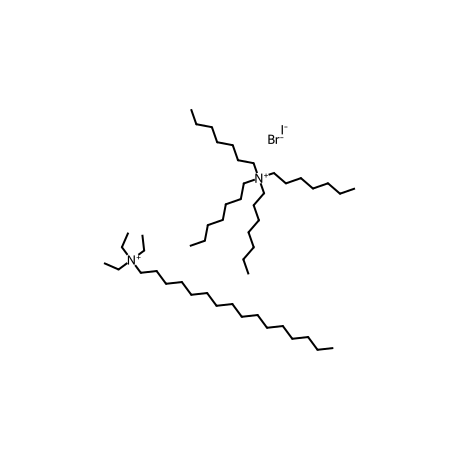 CCCCCCCCCCCCCCCC[N+](CC)(CC)CC.CCCCCCC[N+](CCCCCCC)(CCCCCCC)CCCCCCC.[Br-].[I-]